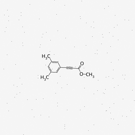 COC(=O)C#Cc1cc(C)cc(C)c1